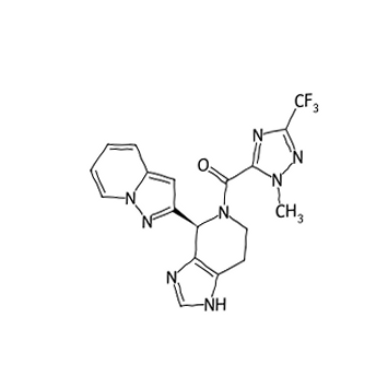 Cn1nc(C(F)(F)F)nc1C(=O)N1CCc2[nH]cnc2[C@H]1c1cc2ccccn2n1